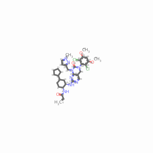 C=CC(=O)N[C@H]1CCC(C2CCCC2)C[C@H]1Nc1ncc2c(n1)N(Cc1ccn(C)n1)C(=O)N(c1c(Cl)c(OC)cc(OC)c1Cl)C2